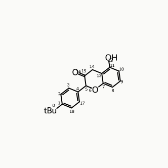 CC(C)(C)c1ccc(C2Oc3cccc(O)c3CC2=O)cc1